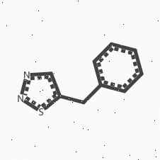 [c]1nnsc1Cc1ccccc1